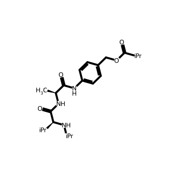 CC(C)N[C@H](C(=O)N[C@@H](C)C(=O)Nc1ccc(COC(=O)C(C)C)cc1)C(C)C